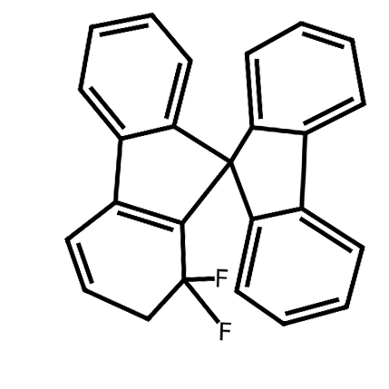 FC1(F)CC=CC2=C1C1(c3ccccc32)c2ccccc2-c2ccccc21